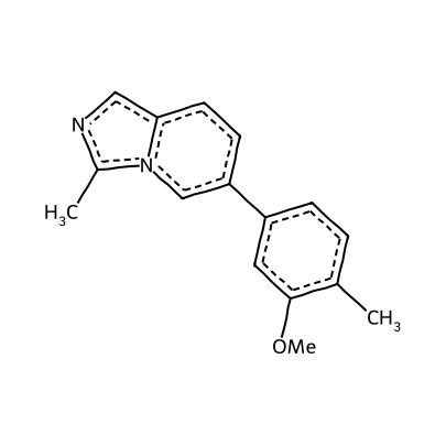 COc1cc(-c2ccc3cnc(C)n3c2)ccc1C